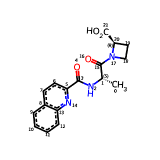 C[C@H](NC(=O)c1ccc2ccccc2n1)C(=O)N1CC[C@@H]1C(=O)O